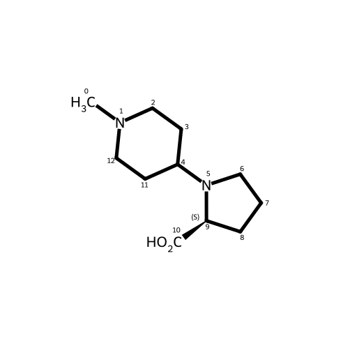 CN1CCC(N2CCC[C@H]2C(=O)O)CC1